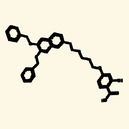 O=C(O)c1ccc(OCCCCCCc2ccc3cc(OCc4ccccc4)c(OCc4ccccc4)cc3c2)cc1O